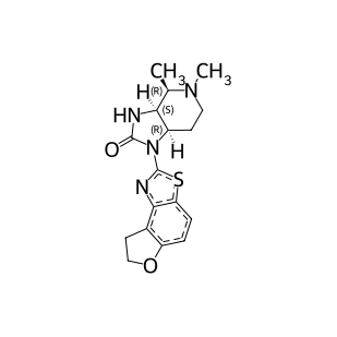 C[C@@H]1[C@@H]2NC(=O)N(c3nc4c5c(ccc4s3)OCC5)[C@@H]2CCN1C